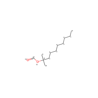 CCCCCCCCC(C)(C)O[C]=O